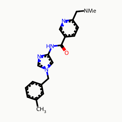 CNCc1ccc(C(=O)Nc2cn(Cc3cccc(C)c3)cn2)cn1